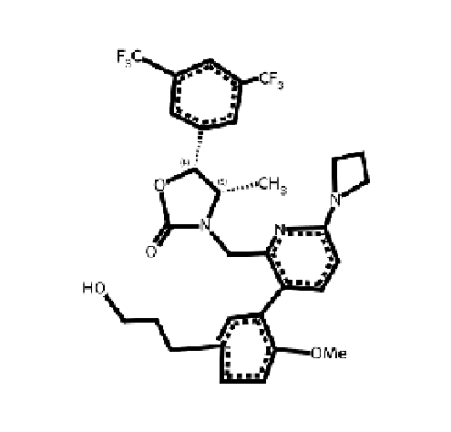 COc1ccc(CCCO)cc1-c1ccc(N2CCC2)nc1CN1C(=O)O[C@H](c2cc(C(F)(F)F)cc(C(F)(F)F)c2)[C@@H]1C